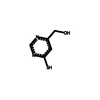 OCc1cc(S)ncn1